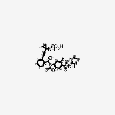 C[C@H](c1ccccc1C#CC1(NC(=O)O)CC1)n1c(=O)oc2cc(S(=O)(=O)Nc3ncns3)c(F)cc21